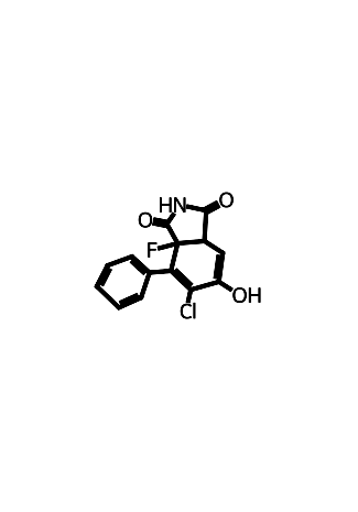 O=C1NC(=O)C2(F)C(c3ccccc3)=C(Cl)C(O)=CC12